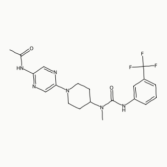 CC(=O)Nc1cnc(N2CCC(N(C)C(=O)Nc3cccc(C(F)(F)F)c3)CC2)cn1